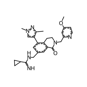 COc1ccnc(CN2CCc3c(cc(CNC(=N)C4CC4)cc3-c3cn(C)nc3C)C2=O)c1